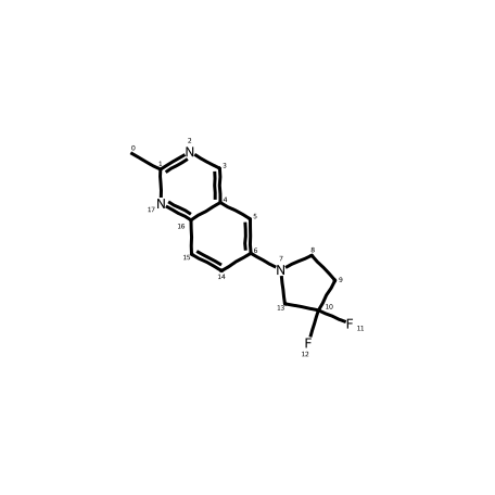 Cc1ncc2cc(N3CCC(F)(F)C3)ccc2n1